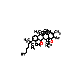 CC(=O)C1=C(C)CC2(C)C(C)C3(C)C(C)c4ccc(C(C)(C)CCCCC(C)C)c(C)c4C(=O)C3C(C)C2(C)C1=O